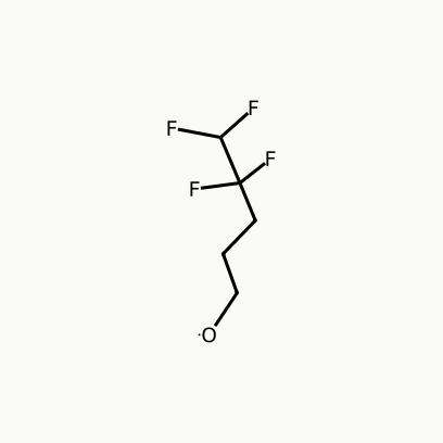 [O]CCCC(F)(F)C(F)F